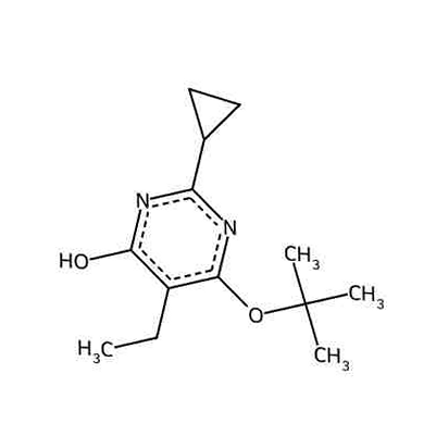 CCc1c(O)nc(C2CC2)nc1OC(C)(C)C